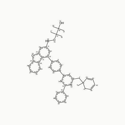 CC1(Cc2cc(-c3ccc(-c4cc(BOC(C)(C)C(C)(C)O)cc5oc6ccccc6c45)cc3)nc(-c3ccccc3)n2)C=CC=CC1